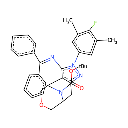 Cc1cc(-n2nc3c(c2N=C(c2ccccc2)c2ccccc2)C2COCC(C3)N2C(=O)OC(C)(C)C)cc(C)c1F